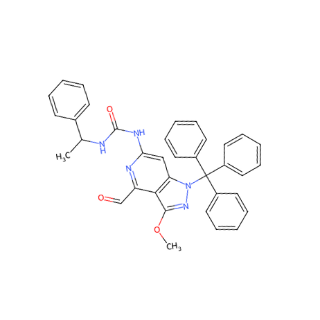 COc1nn(C(c2ccccc2)(c2ccccc2)c2ccccc2)c2cc(NC(=O)NC(C)c3ccccc3)nc(C=O)c12